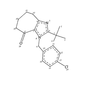 CC(C)(C)c1nc2c(n1Cc1ccc(Cl)cc1)C(=O)CCCC2